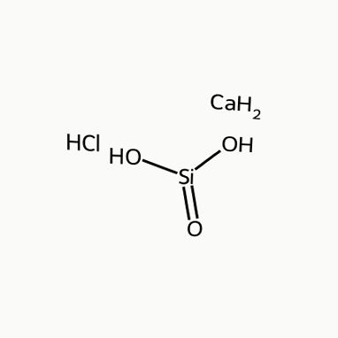 Cl.O=[Si](O)O.[CaH2]